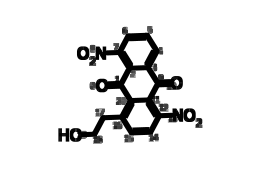 O=C1c2c(cccc2[N+](=O)[O-])C(=O)c2c([N+](=O)[O-])ccc(CCO)c21